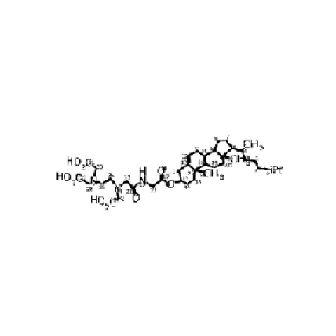 CC(C)CCCC(C)C1CCC2C3CC=C4CC(OC(=O)CNC(=O)CN(CCN(CC(=O)O)CC(=O)O)CC(=O)O)CCC4(C)C3CCC12C